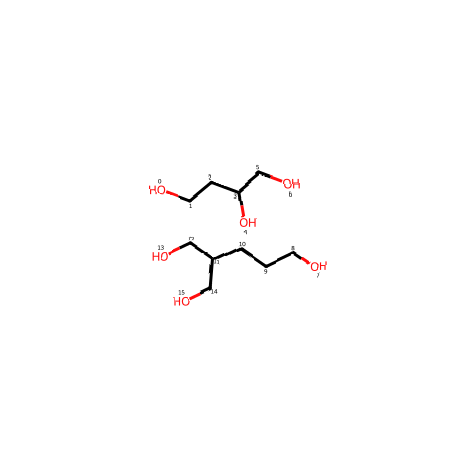 OCCC(O)CO.OCCCC(CO)CO